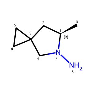 C[C@@H]1CC2(CC2)CN1N